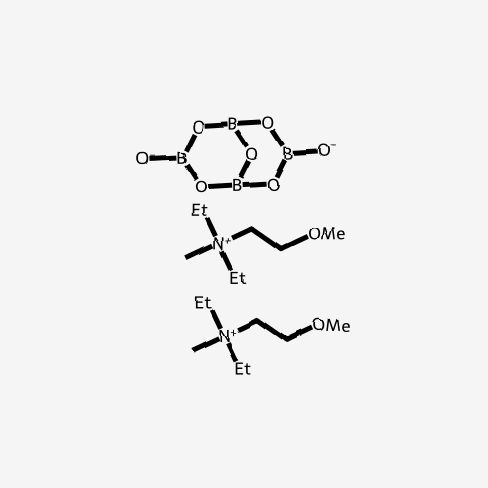 CC[N+](C)(CC)CCOC.CC[N+](C)(CC)CCOC.[O-]B1OB2OB([O-])OB(O1)O2